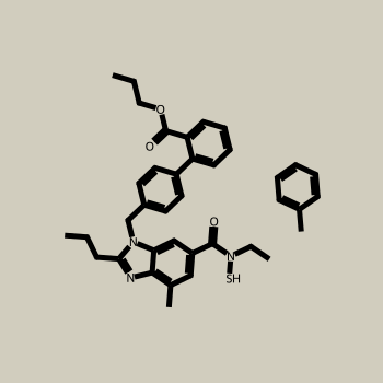 CCCOC(=O)c1ccccc1-c1ccc(Cn2c(CCC)nc3c(C)cc(C(=O)N(S)CC)cc32)cc1.Cc1ccccc1